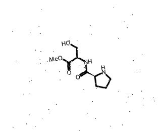 COC(=O)C(CO)NC(=O)[C@@H]1CCCN1